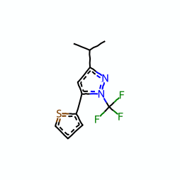 CC(C)c1cc(-c2cccs2)n(C(F)(F)F)n1